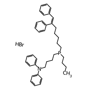 Br.CCCCP(CCCCCC(=Cc1ccccc1)c1ccccc1)CCCCN(c1ccccc1)c1ccccc1